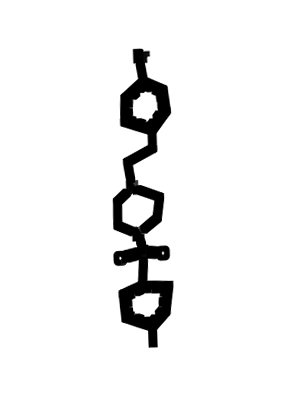 Cc1ccc(S(=O)(=O)N2CCN(CCc3ccc(Br)cc3)CC2)cc1